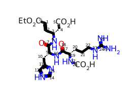 CCOC(=O)/C=C/[C@H](CC(=O)O)NC(=O)[C@@H](Cc1c[nH]cn1)NC(=O)[C@H](CCCNC(=N)N)NC(=O)O